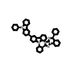 c1ccc(-c2nc3nc(-c4ccccc4-n4c5ccccc5c5cc(-c6ccc7c(c6)c6ccccc6n7-c6ccccc6)ccc54)nn3c3ccccc23)cc1